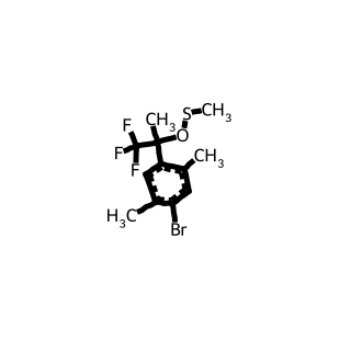 CSOC(C)(c1cc(C)c(Br)cc1C)C(F)(F)F